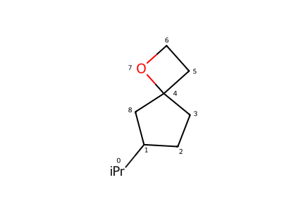 CC(C)C1CCC2(CCO2)C1